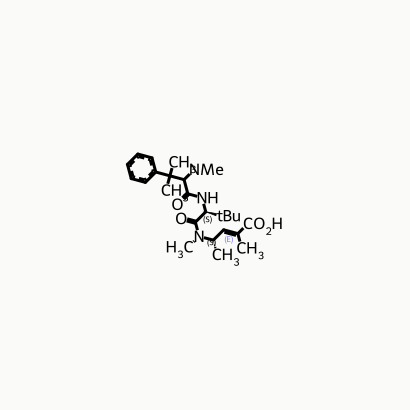 CNC(C(=O)N[C@H](C(=O)N(C)[C@@H](C)/C=C(\C)C(=O)O)C(C)(C)C)C(C)(C)c1ccccc1